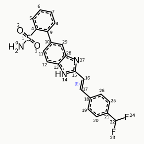 NS(=O)(=O)c1ccccc1-c1ccc2[nH]c(/C=C/c3ccc(C(F)F)cc3)nc2c1